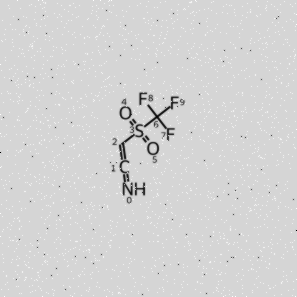 N=C=CS(=O)(=O)C(F)(F)F